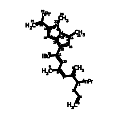 C=CCC(CCC)C(=C)/C=C(C)\C=C(\c1cc(C)n2c1cc(C(=C)CCC)n2C)C(C)CC